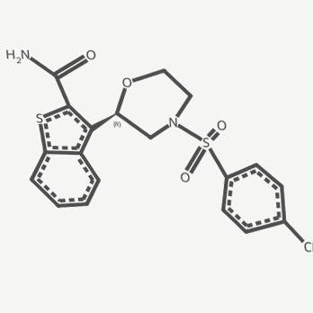 NC(=O)c1sc2ccccc2c1[C@@H]1CN(S(=O)(=O)c2ccc(C(F)(F)F)cc2)CCO1